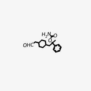 CC(CC1CCC(CC=O)CC1)(OC(N)=O)c1ccccc1